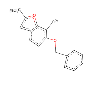 CCCc1c(OCc2ccccc2)ccc2cc(C(=O)OCC)oc12